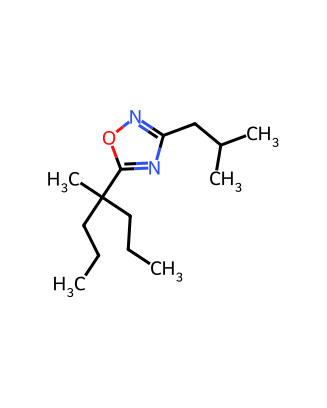 CCCC(C)(CCC)c1nc(CC(C)C)no1